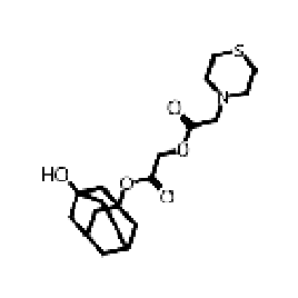 O=C(CN1CCSCC1)OCC(=O)OC12CC3CC(CC(O)(C3)C1)C2